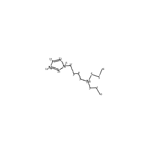 CCCN(CCC)CCCCn1c[c]nc1